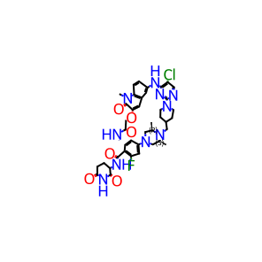 CNC(=O)COc1cc2cc(Nc3nc(N4CCC(CN5[C@H](C)CN(c6ccc(C(=O)NC7CCC(=O)NC7=O)c(F)c6)C[C@@H]5C)CC4)ncc3Cl)ccc2n(C)c1=O